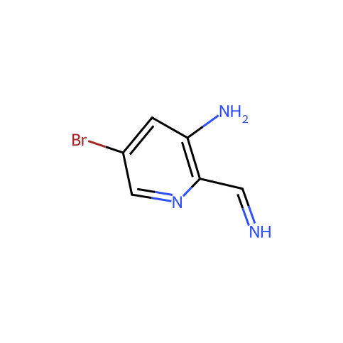 N=Cc1ncc(Br)cc1N